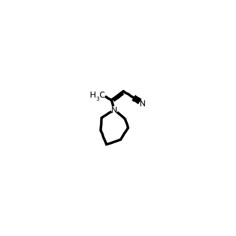 C/C(=C/C#N)N1CCCCCC1